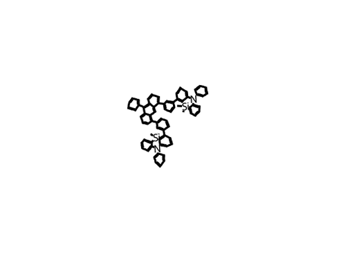 C[Si]1(C)c2ccccc2N(c2ccccc2)c2cccc(-c3cccc(-c4cccc5c(-c6ccccc6)c6cccc(-c7cccc(-c8cccc9c8[Si](C)(C)c8ccccc8N9c8ccccc8)c7)c6cc45)c3)c21